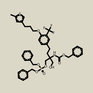 Cc1cc(CCCOc2ccc(CCC(CO)(COP(=O)(OCc3ccccc3)OCc3ccccc3)NC(=O)OCc3ccccc3)cc2C(F)(F)F)cs1